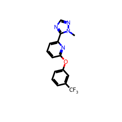 Cn1ncnc1-c1cccc(Oc2cccc(C(F)(F)F)c2)n1